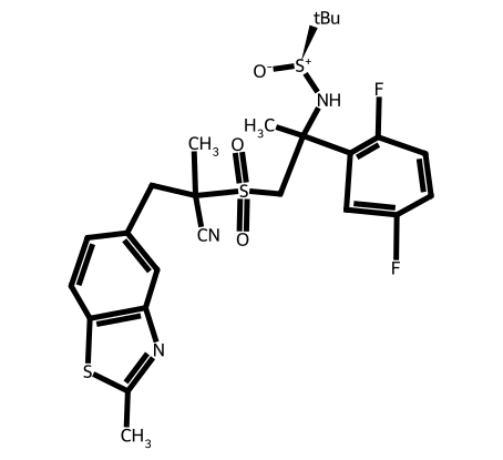 Cc1nc2cc(CC(C)(C#N)S(=O)(=O)CC(C)(N[S@@+]([O-])C(C)(C)C)c3cc(F)ccc3F)ccc2s1